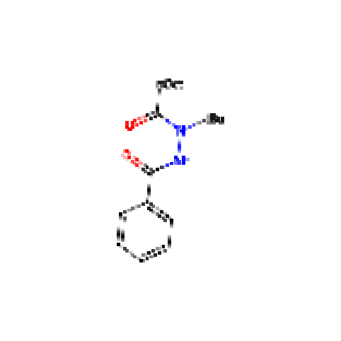 CCCCCCCCC(=O)N(NC(=O)c1ccccc1)C(C)(C)C